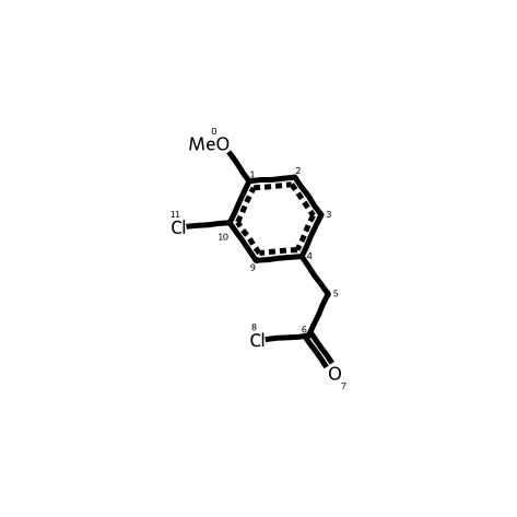 COc1ccc(CC(=O)Cl)cc1Cl